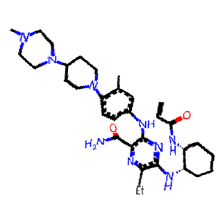 C=CC(=O)N[C@@H]1CCCC[C@@H]1Nc1nc(Nc2ccc(N3CCC(N4CCN(C)CC4)CC3)c(C)c2)c(C(N)=O)nc1CC